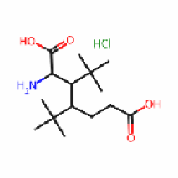 CC(C)(C)C(CCC(=O)O)C(C(N)C(=O)O)C(C)(C)C.Cl